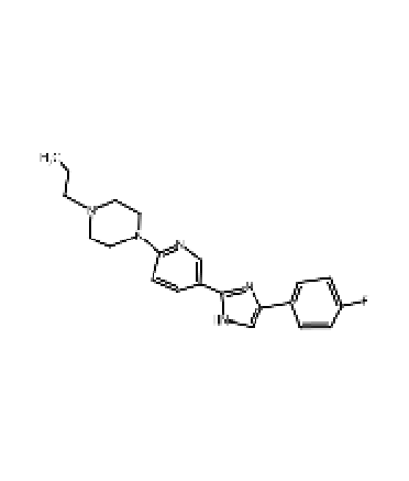 CCCN1CCN(c2ccc(-c3nc(-c4ccc(F)cc4)c[nH]3)cn2)CC1